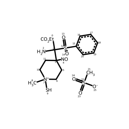 CCOC(=O)C(N)(C1(N=O)CC[N+](C)(S)CC1)S(=O)(=O)c1ccccc1.CS(=O)(=O)[O-]